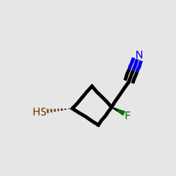 N#C[C@]1(F)C[C@H](S)C1